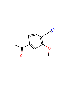 COc1cc(C(C)=O)ccc1C#N